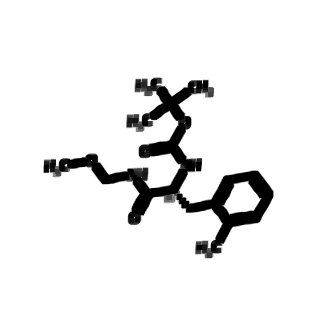 COCNC(=O)[C@@H](Cc1ccccc1C)NC(=O)OC(C)(C)C